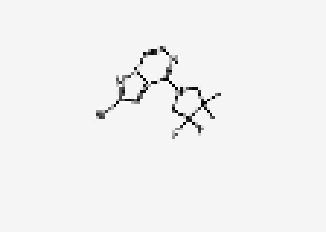 CC1(C)CN(c2nccn3nc(Br)cc23)CC1(F)F